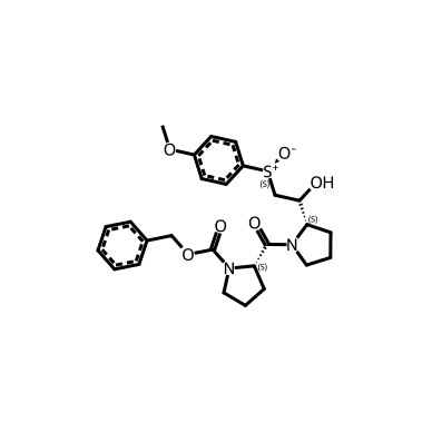 COc1ccc([S@+]([O-])CC(O)[C@@H]2CCCN2C(=O)[C@@H]2CCCN2C(=O)OCc2ccccc2)cc1